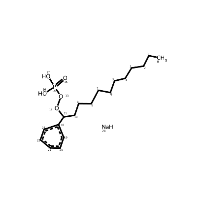 CCCCCCCCCCCC(OOP(=O)(O)O)c1ccccc1.[NaH]